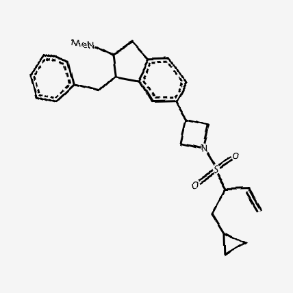 C=CC(CC1CC1)S(=O)(=O)N1CC(c2ccc3c(c2)C(Cc2ccccc2)C(NC)C3)C1